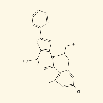 O=C(O)c1sc(-c2ccccc2)cc1N1C(=O)c2c(I)cc(Cl)cc2CC1CF